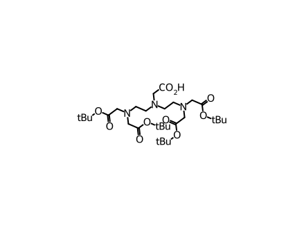 CC(C)(C)OC(=O)CN(CCN(CCN(CC(=O)OC(C)(C)C)CC(=O)OC(C)(C)C)CC(=O)O)CC(=O)OC(C)(C)C